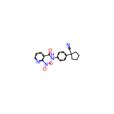 N#CC1(c2ccc(NC(=O)c3cccnc3[N+](=O)[O-])cc2)CCCC1